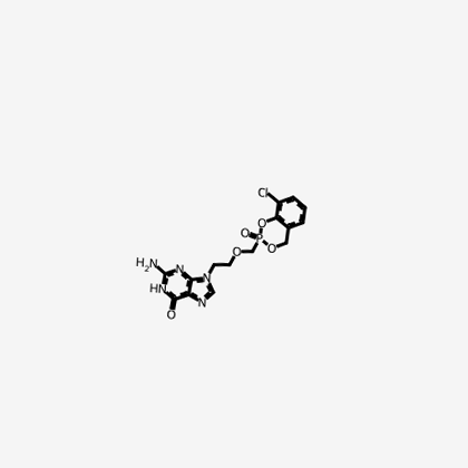 Nc1nc2c(ncn2CCOCP2(=O)OCc3cccc(Cl)c3O2)c(=O)[nH]1